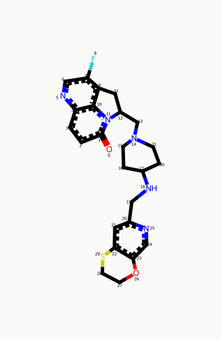 O=c1ccc2ncc(F)c3c2n1C(CN1CCC(NCc2cc4c(cn2)OCCS4)CC1)C3